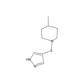 CC1CCN(Sc2cn[nH]c2)CC1